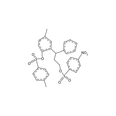 Cc1ccc(S(=O)(=O)Oc2ccc(C)cc2C(CCOS(=O)(=O)c2ccc([N+](=O)[O-])cc2)c2ccccc2)cc1